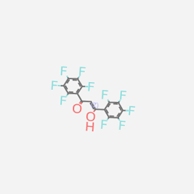 O=C(/C=C(\O)c1c(F)c(F)c(F)c(F)c1F)c1c(F)c(F)c(F)c(F)c1F